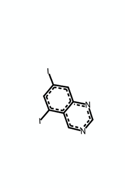 Ic1cc(I)c2cncnc2c1